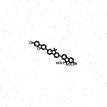 CCCCCCCCC1(CCCCCCCC)c2cc(Br)ccc2-c2ccc(-c3ccc4c(c3)C(C)(C)c3cc(-c5ccc6c(c5)oc5cc(Cl)ccc56)ccc3-4)cc21